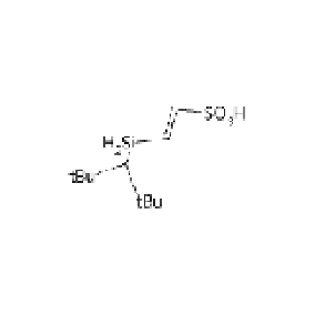 CC(C)(C)C([SiH2]C=CS(=O)(=O)O)C(C)(C)C